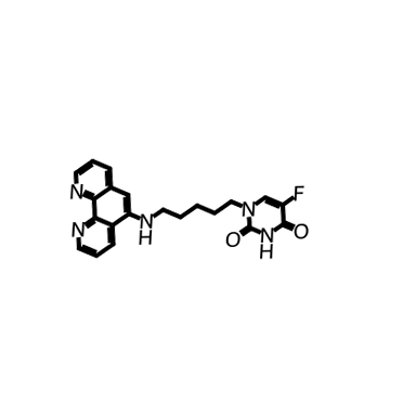 O=c1[nH]c(=O)n(CCCCCNc2cc3cccnc3c3ncccc23)cc1F